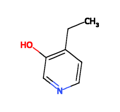 CCc1ccncc1O